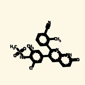 Cc1cc(-c2cc3ccc(=O)[nH]c3nc2-c2cccc(C#N)c2C)cc(Cl)c1NS(C)(=O)=O